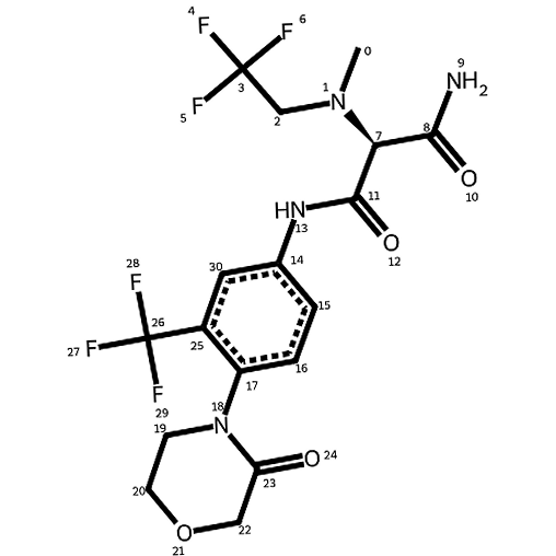 CN(CC(F)(F)F)[C@@H](C(N)=O)C(=O)Nc1ccc(N2CCOCC2=O)c(C(F)(F)F)c1